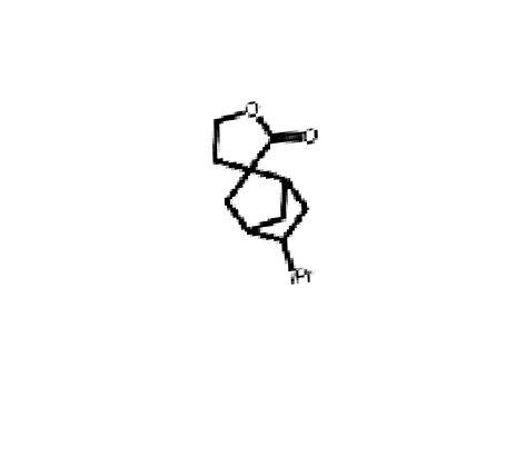 CC(C)C1CC2CC1CC21CCOC1=O